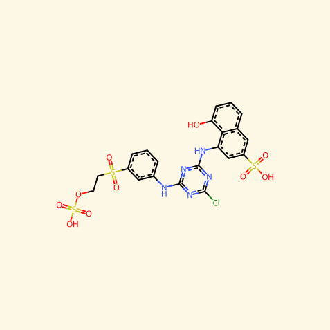 O=S(=O)(O)OCCS(=O)(=O)c1cccc(Nc2nc(Cl)nc(Nc3cc(S(=O)(=O)O)cc4cccc(O)c34)n2)c1